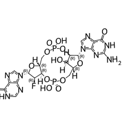 Nc1nc2c(ncn2[C@@H]2O[C@@H]3COP(=O)(O)O[C@H]4[C@@H](F)[C@H](n5cnc6c(=O)[nH]cnc65)O[C@@H]4COP(=O)(O)O[C@@H]2[C@@H]3O)c(=O)[nH]1